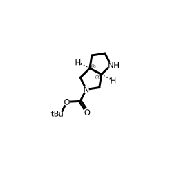 CC(C)(C)OC(=O)N1C[C@H]2CCN[C@H]2C1